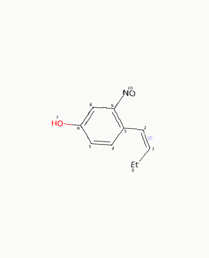 CC/C=C\c1ccc(O)cc1N=O